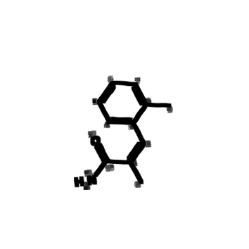 CC(=Cc1ccccc1C)C(N)=O